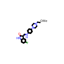 COCCN1CCN(c2ccc(N/C=C3/C(=O)Nc4ccc(F)cc43)cc2)CC1